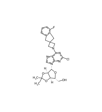 CC1(C)O[C@@H]2[C@H](O1)[C@@H](CO)O[C@H]2n1cnc2c(N3CC4(Cc5cccc(F)c5C4)C3)nc(Cl)nc21